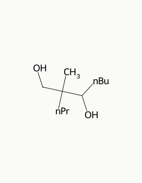 CCCCC(O)C(C)(CO)CCC